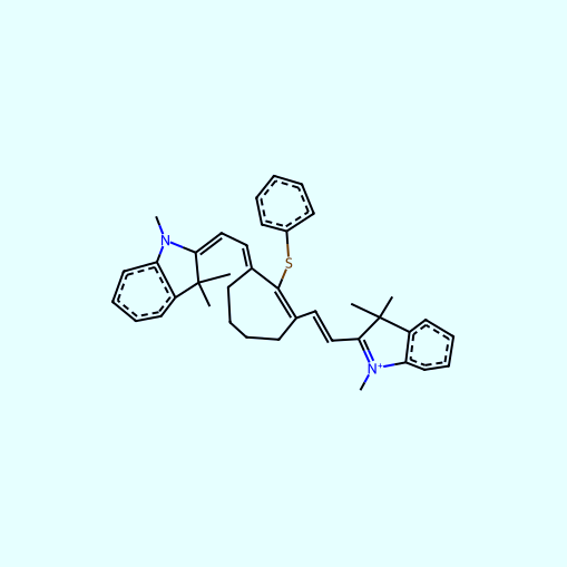 CN1/C(=C/C=C2\CCCCC(/C=C/C3=[N+](C)c4ccccc4C3(C)C)=C2Sc2ccccc2)C(C)(C)c2ccccc21